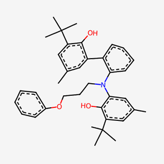 Cc1cc(-c2ccccc2N(CCCOc2ccccc2)c2cc(C)cc(C(C)(C)C)c2O)c(O)c(C(C)(C)C)c1